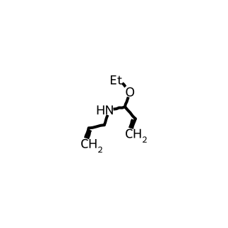 C=CCNC(C=C)OCC